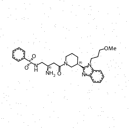 COCCCn1c([C@@H]2CCCN(C(=O)C[C@@H](N)CNS(=O)(=O)c3ccccc3)C2)nc2ccccc21